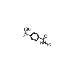 CCNC(=O)c1ccc(N(C)C(C)(C)C)cc1